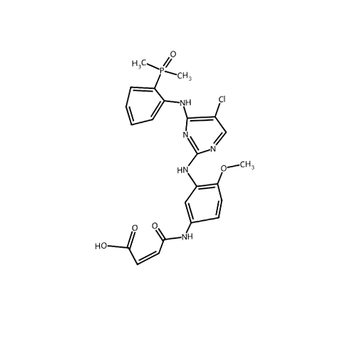 COc1ccc(NC(=O)/C=C\C(=O)O)cc1Nc1ncc(Cl)c(Nc2ccccc2P(C)(C)=O)n1